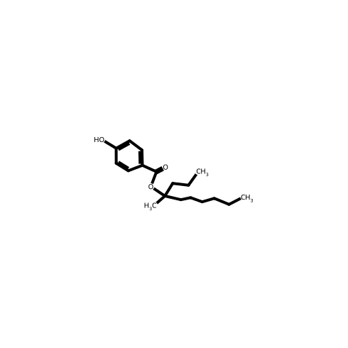 CCCCCCC(C)(CCC)OC(=O)c1ccc(O)cc1